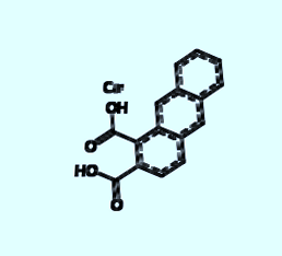 O=C(O)c1ccc2cc3ccccc3cc2c1C(=O)O.[Ca]